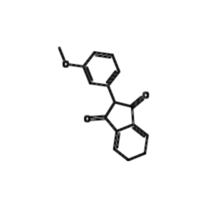 COc1cccc(C2C(=O)C3=CCCC=C3C2=O)c1